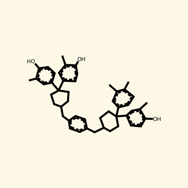 Cc1ccc(C2(c3ccc(O)c(C)c3)CCC(Cc3ccc(CC4CCC(c5ccc(O)c(C)c5)(c5ccc(O)c(C)c5)CC4)cc3)CC2)cc1C